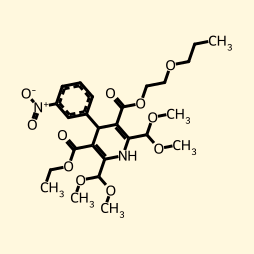 CCCOCCOC(=O)C1=C(C(OC)OC)NC(C(OC)OC)=C(C(=O)OCC)C1c1cccc([N+](=O)[O-])c1